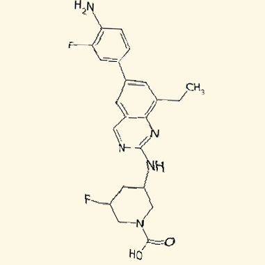 CCc1cc(-c2ccc(N)c(F)c2)cc2cnc(NC3CC(F)CN(C(=O)O)C3)nc12